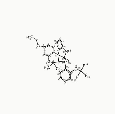 CCOc1ccc2c(c1)OC(C)(C)C(Cc1ccccc1OC(F)(F)F)C21C(=O)Nc2ccccc21